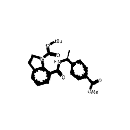 COC(=O)c1ccc([C@H](C)NC(=O)c2cccc3c2N(C(=O)OC(C)(C)C)CC3)cc1